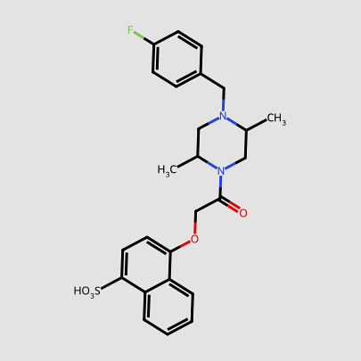 CC1CN(C(=O)COc2ccc(S(=O)(=O)O)c3ccccc23)C(C)CN1Cc1ccc(F)cc1